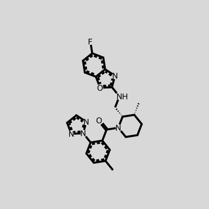 Cc1ccc(-n2nccn2)c(C(=O)N2CCC[C@@H](C)[C@H]2CNc2nc3cc(F)ccc3o2)c1